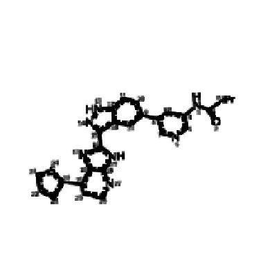 CC(C)C(=O)Nc1cncc(-c2ccc3[nH]nc(-c4nc5c(-c6cccs6)ccnc5[nH]4)c3c2)c1